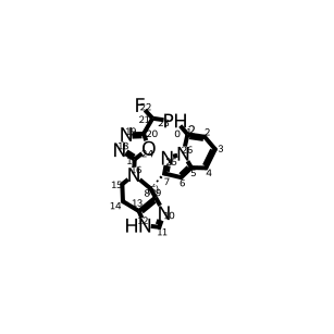 Cc1cccc2cc([C@@H]3c4nc[nH]c4CCN3c3nnc(C(F)P)o3)nn12